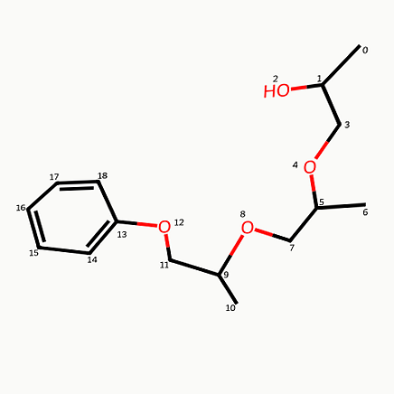 CC(O)COC(C)COC(C)COc1ccccc1